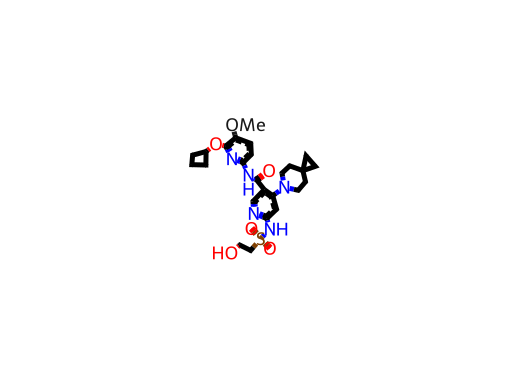 COc1ccc(NC(=O)c2cnc(NS(=O)(=O)CCO)cc2N2CCC3(CC2)CC3)nc1OC1CCC1